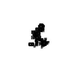 CC(NC(=O)C(=O)Nc1ncccn1)C(=O)NC(CCC(=O)O)C(=O)COc1c(F)c(F)cc(F)c1F